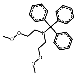 COOCCN(CCOOC)C(c1ccccc1)(c1ccccc1)c1ccccc1